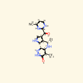 CC[C@H](Nc1cn[nH]c(=O)c1C(F)(F)F)c1c[nH]cc1C(=O)c1nccc(C#N)n1